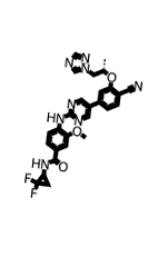 COc1cc(C(=O)NC2CC2(F)F)ccc1Nc1ncc(-c2ccc(C#N)c(O[C@@H](C)Cn3cncn3)c2)cn1